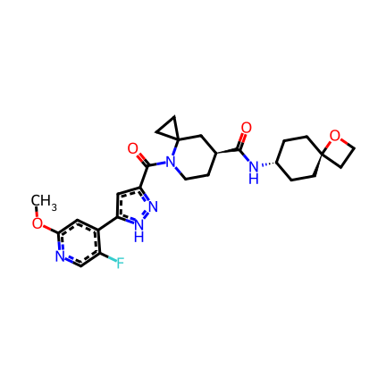 COc1cc(-c2cc(C(=O)N3CC[C@H](C(=O)N[C@H]4CC[C@@]5(CCO5)CC4)CC34CC4)n[nH]2)c(F)cn1